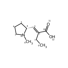 CC/C(=C\[C@H]1CCCN1C)C(=O)O